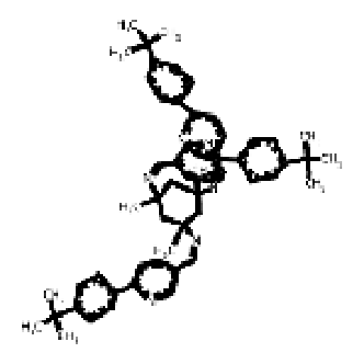 CC1(/N=C\c2ccc(-c3ccc(C(C)(C)C)cc3)nc2)CC(C)(/N=C\c2ccc(-c3ccc(C(C)(C)C)cc3)nc2)CC(C)(/N=C\c2ccc(-c3ccc(C(C)(C)C)cc3)nc2)C1